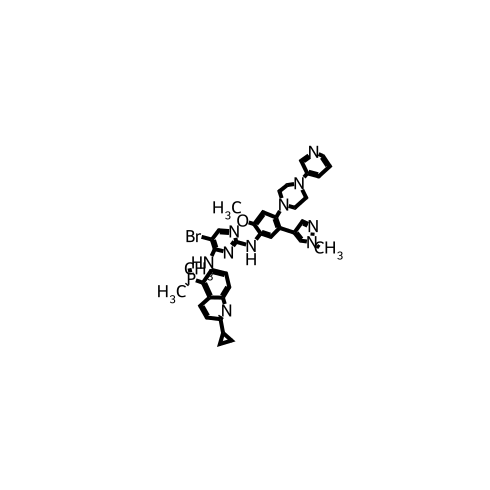 COc1cc(N2CCN(c3cccnc3)CC2)c(-c2cnn(C)c2)cc1Nc1ncc(Br)c(Nc2ccc3nc(C4CC4)ccc3c2P(C)C)n1